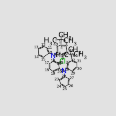 CC(C)(C)c1cccc(N(c2ccccc2)c2cccc(N(c3ccccc3)c3cccc(C(C)(C)C)c3)c2Cl)c1